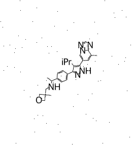 Cc1cc(-c2[nH]nc(-c3ccc(C(C)NCC4(C)COC4)cc3)c2C(C)C)cn2ncnc12